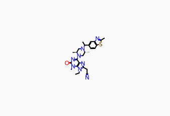 CCn1c(CC#N)nc2c(N3C[C@@H](C)N(C(C)c4ccc5sc(C)nc5c4)C[C@@H]3C)nc(=O)n(C)c21